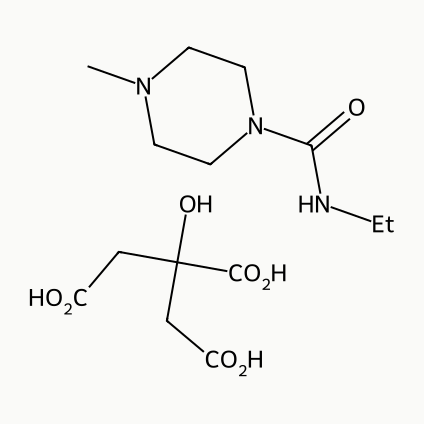 CCNC(=O)N1CCN(C)CC1.O=C(O)CC(O)(CC(=O)O)C(=O)O